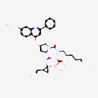 C=CCCCCN(NC(=O)OC(C)(C)C)C(=O)N1C[C@H](Oc2cc(-c3ccccc3)nc3cc(OC)ccc23)C[C@H]1C(=O)N[C@]1(C(=O)OCC)CC1C=C